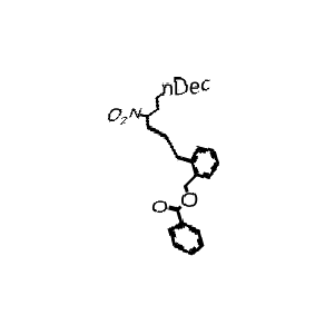 CCCCCCCCCCCCC(CCCc1ccccc1COC(=O)c1ccccc1)[N+](=O)[O-]